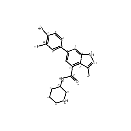 Cc1n[nH]c2nc(-c3ccc(O)c(F)c3)cc(C(=O)NC3CCCNC3)c12